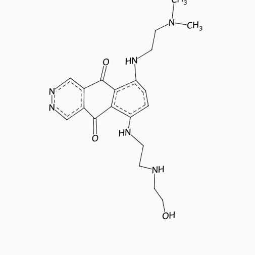 CN(C)CCNc1ccc(NCCNCCO)c2c1C(=O)c1cnncc1C2=O